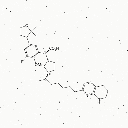 COc1c(F)cc(C2CCOC2(C)C)cc1[C@@H](C(=O)O)N1CC[C@@H](N(C)CCCCCc2ccc3c(n2)NCCC3)C1